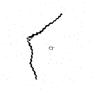 CCCCCCCCCCCCCCCCCCCCCC[N+](C)(C)CCCCCCCCCCCCCCCCCCCCCC.[Cl-]